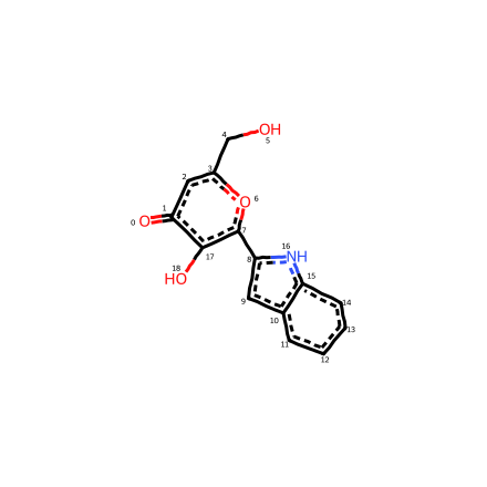 O=c1cc(CO)oc(-c2cc3ccccc3[nH]2)c1O